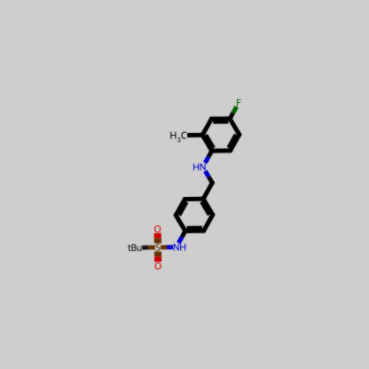 Cc1cc(F)ccc1NCc1ccc(NS(=O)(=O)C(C)(C)C)cc1